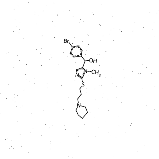 Cn1c(C(O)c2ccc(Br)cc2)cnc1SCCCN1CCCCC1